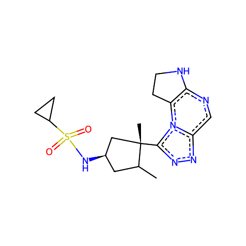 CC1C[C@@H](NS(=O)(=O)C2CC2)C[C@]1(C)c1nnc2cnc3c(n12)CCN3